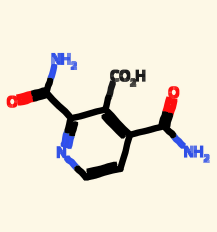 NC(=O)c1ccnc(C(N)=O)c1C(=O)O